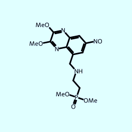 COc1nc2cc(N=O)cc(CNCCP(=O)(OC)OC)c2nc1OC